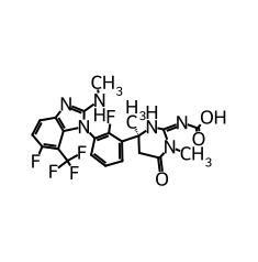 CNc1nc2ccc(F)c(C(F)(F)F)c2n1-c1cccc([C@]2(C)CC(=O)N(C)/C(=N\C(=O)O)N2)c1F